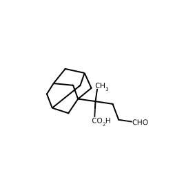 CC(CCC=O)(C(=O)O)C12CC3CC(CC(C3)C1)C2